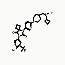 CC(C)N(CC1CCN(c2ccc(N3C(=S)N(c4cnc(C#N)c(C(F)(I)I)c4)C(=O)C34CCC4)cn2)CC1)C1CCC1